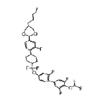 CCCCCC1COC(c2ccc(C3CCC(C(F)(F)Oc4ccc(-c5cc(F)c(OC(F)F)c(F)c5)c(F)c4)CC3)c(F)c2)OC1